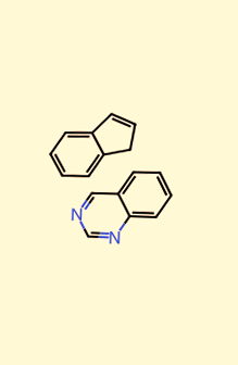 C1=Cc2ccccc2C1.c1ccc2ncncc2c1